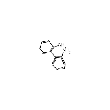 NC1=C(c2ccccc2N)[CH]CC=C1